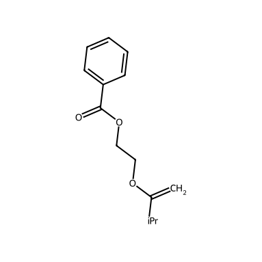 C=C(OCCOC(=O)c1ccccc1)C(C)C